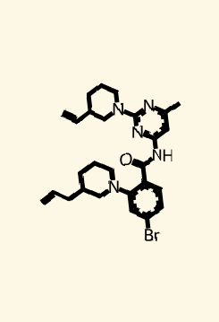 C=CCC1CCCN(c2cc(Br)ccc2C(=O)Nc2cc(C)nc(N3CCCC(C=C)C3)n2)C1